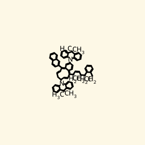 C=Cc1ccccc1C(=C)C(=C)/C=C\C(=C)C1=c2\ccc(N3c4ccccc4C(C)(C)c4ccccc43)c\c2=C(c2ccc3ccccc3c2)\C=C\CC(N2c3ccccc3C(C)(C)c3ccccc32)\C=C\1